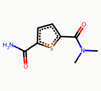 CN(C)C(=O)c1ccc(C(N)=O)s1